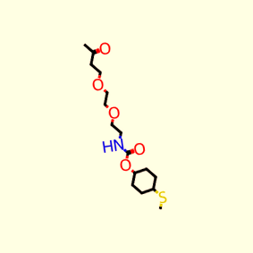 CSC1CCC(OC(=O)NCCOCCOCCC(C)=O)CC1